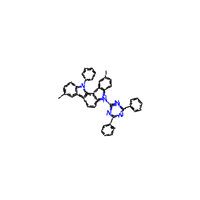 Cc1ccc2c(c1)c1c(ccc3c4cc(C)ccc4n(-c4ccccc4)c31)n2-c1nc(-c2ccccc2)nc(-c2ccccc2)n1